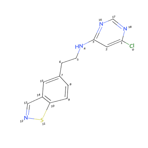 Clc1cc(NCCc2ccc3sncc3c2)ncn1